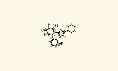 CCC1=C(c2nc(C3CCCCC3)cs2)C(c2cccc(F)c2)NC(=O)N1